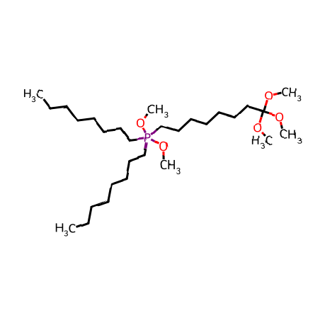 CCCCCCCCP(CCCCCCCC)(CCCCCCCC(OC)(OC)OC)(OC)OC